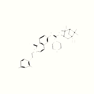 C[C@H]1[C@@H](NC(=Nc2ccc3c(=O)n(CCc4ccc(F)cc4F)ccc3c2)N2CCN[C@@H](C)C2)C[C@@H]2C[C@@H]1C2(C)C